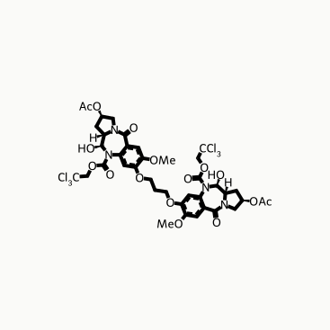 COc1cc2c(cc1OCCCOc1cc3c(cc1OC)C(=O)N1C[C@H](OC(C)=O)C[C@H]1[C@H](O)N3C(=O)OCC(Cl)(Cl)Cl)N(C(=O)OCC(Cl)(Cl)Cl)[C@@H](O)[C@@H]1C[C@@H](OC(C)=O)CN1C2=O